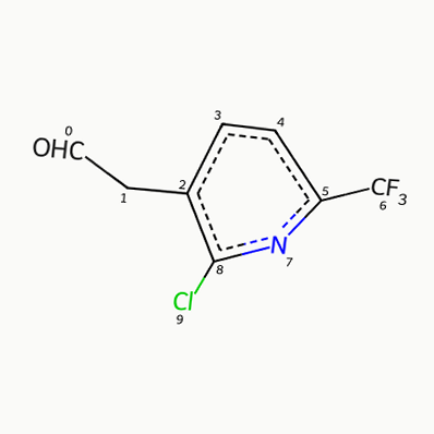 O=CCc1ccc(C(F)(F)F)nc1Cl